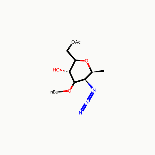 CCCCOC1[C@H](O)C(COC(C)=O)O[C@@H](C)[C@H]1N=[N+]=[N-]